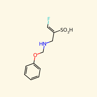 O=S(=O)(O)C(=CF)CNCOc1ccccc1